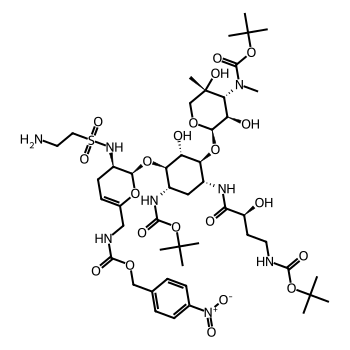 CN(C(=O)OC(C)(C)C)[C@@H]1[C@@H](O)[C@@H](O[C@@H]2[C@@H](O)[C@H](O[C@H]3OC(CNC(=O)OCc4ccc([N+](=O)[O-])cc4)=CC[C@H]3NS(=O)(=O)CCN)[C@@H](NC(=O)OC(C)(C)C)C[C@H]2NC(=O)[C@@H](O)CCNC(=O)OC(C)(C)C)OC[C@]1(C)O